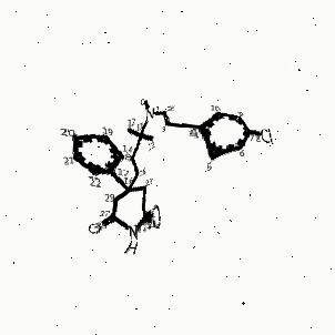 CN(CCc1ccc(Cl)cc1)C(C)(C)CCC1(c2ccccc2)CC(=O)NC(=O)C1